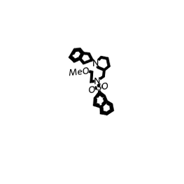 COCCN(CC1CCCN(C2Cc3ccccc3C2)C1)S(=O)(=O)c1ccc2ccccc2c1